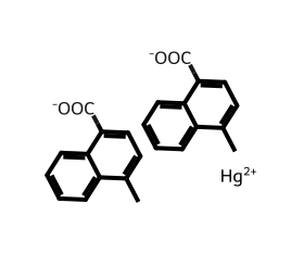 Cc1ccc(C(=O)[O-])c2ccccc12.Cc1ccc(C(=O)[O-])c2ccccc12.[Hg+2]